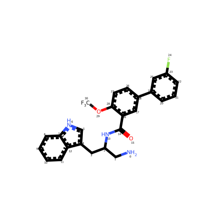 NCC(Cc1c[nH]c2ccccc12)NC(=O)c1cc(-c2cccc(F)c2)ccc1OC(F)(F)F